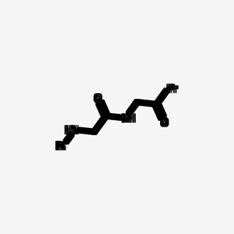 CCNCC(=O)NCC(=O)C(C)C